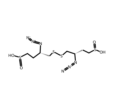 [N-]=[N+]=N[C@@H](CCS(=O)O)CSSC[C@H](CCS(=O)O)N=[N+]=[N-]